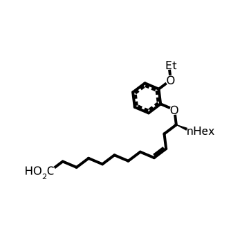 CCCCCC[C@@H](C/C=C\CCCCCCCC(=O)O)Oc1ccccc1OCC